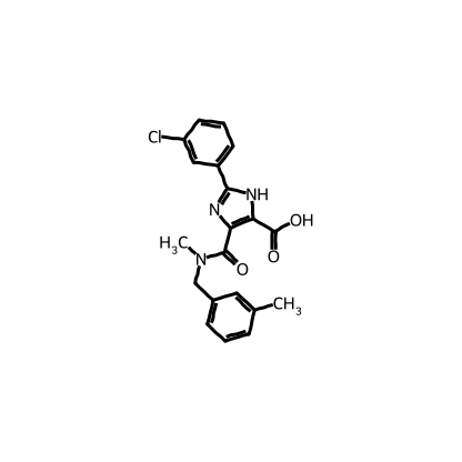 Cc1cccc(CN(C)C(=O)c2nc(-c3cccc(Cl)c3)[nH]c2C(=O)O)c1